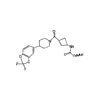 COC(=O)NC1CC(C(=O)N2CCC(c3ccc4c(c3)OC(F)(F)O4)CC2)C1